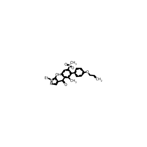 C=CCOc1ccc(-c2c(S(C)(=O)=O)ccc(C(=O)c3cnn(CC)c3O)c2C)cc1